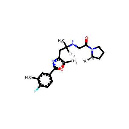 Cc1cc(-c2nc(CC(C)(C)NCC(=O)N3CCC[C@H]3C#N)c(C)o2)ccc1F